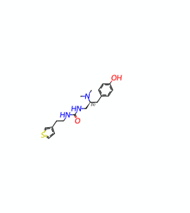 CN(C)[C@H](CNC(=O)NCCc1ccsc1)Cc1ccc(O)cc1